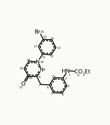 CCOC(=O)Nc1cccc(Cc2nn(-c3cccc(Br)c3)ccc2=O)c1